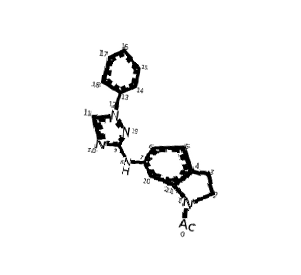 CC(=O)N1CCc2ccc(Nc3ncn(-c4ccccc4)n3)cc21